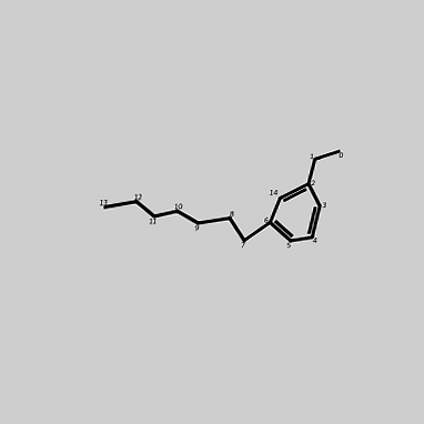 C[CH]c1cccc(CCCCCCC)c1